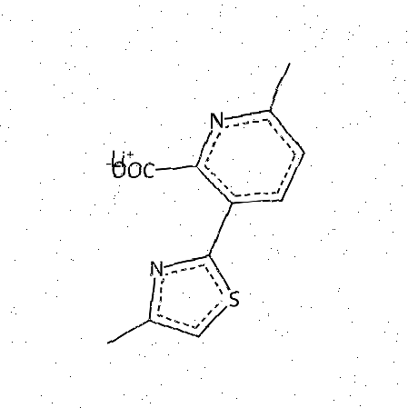 Cc1csc(-c2ccc(C)nc2C(=O)[O-])n1.[Li+]